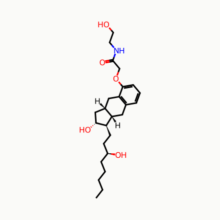 CCCCC[C@H](O)CC[C@@H]1[C@H]2Cc3cccc(OCC(=O)NCCO)c3C[C@H]2C[C@H]1O